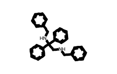 c1ccc(CNCC(NCc2ccccc2)(c2ccccc2)c2ccccc2)cc1